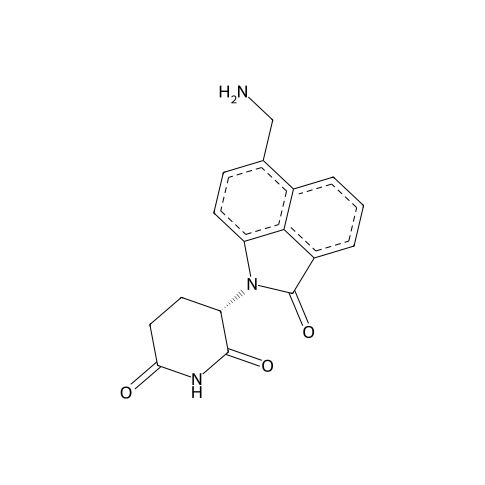 NCc1ccc2c3c(cccc13)C(=O)N2[C@H]1CCC(=O)NC1=O